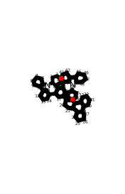 C1=CCC(n2c3ccccc3c3cccc(-c4cc(-c5ccc6c7ccccc7c7ccccc7c6c5)cc(-c5cccc6c7ccccc7n(-c7ccccc7)c56)c4)c32)C=C1